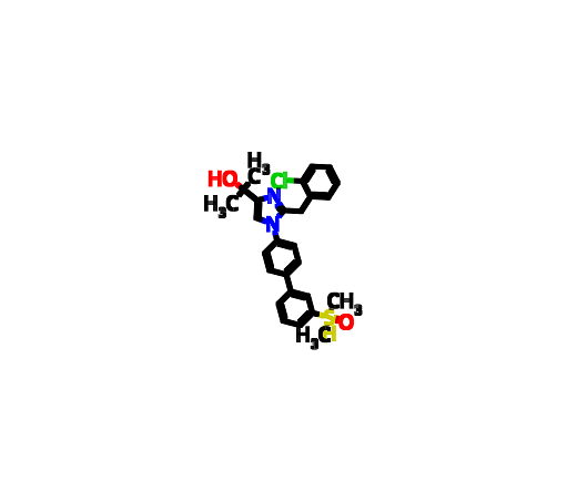 CC(C)(O)c1cn(-c2ccc(-c3cccc([SH](C)(C)=O)c3)cc2)c(Cc2ccccc2Cl)n1